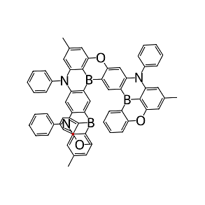 Cc1cc2c3c(c1)N(c1ccccc1)c1cc4c(cc1B3c1ccccc1O2)B1c2cc3c(cc2N(c2ccccc2)c2cc(C)cc(c21)O4)N(c1ccccc1)c1cc(C)cc2c1B3c1ccccc1O2